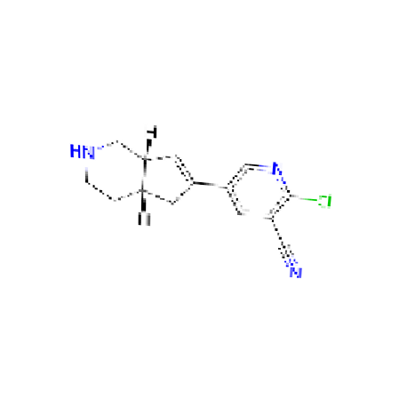 N#Cc1cc(C2=C[C@H]3CNCC[C@H]3C2)cnc1Cl